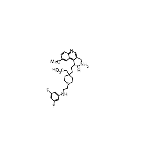 COc1ccc2ncc(CN)c([C@H](O)CCC3(CC(=O)O)CCN(CCNc4cc(F)cc(F)c4)CC3)c2c1